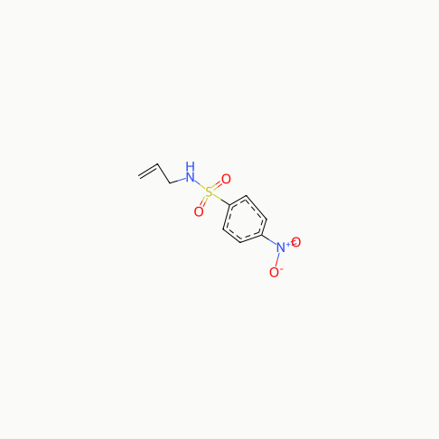 C=CCNS(=O)(=O)c1ccc([N+](=O)[O-])cc1